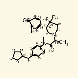 CC(C(=O)Nc1ccc(CC2CCCC2)cn1)N1CCC(F)(F)[C@@H](c2ccc(=O)[nH]c2)C1